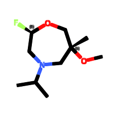 CO[C@@]1(C)CO[C@H](F)CN(C(C)C)C1